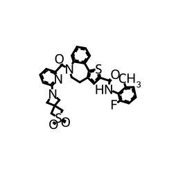 Cc1cccc(F)c1NC(=O)c1cc2c(s1)-c1ccccc1N(C(=O)c1cccc(N3CC4(C3)CS(=O)(=O)C4)n1)CC2